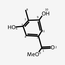 COC(=O)c1cc(O)c(C)c(O)c1